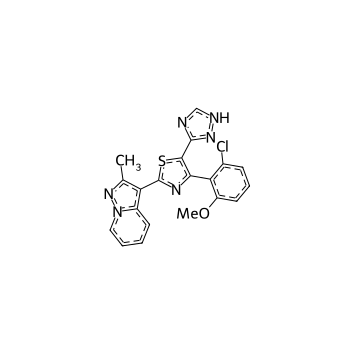 COc1cccc(Cl)c1-c1nc(-c2c(C)nn3ccccc23)sc1-c1nc[nH]n1